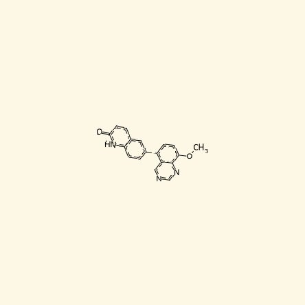 COc1ccc(-c2ccc3[nH]c(=O)ccc3c2)c2cncnc12